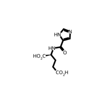 O=C(O)CC[C@H](NC(=O)c1cnc[nH]1)C(=O)O